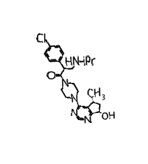 CC(C)NCC(C(=O)N1CCN(c2ncnc3c2[C@H](C)C[C@H]3O)CC1)c1ccc(Cl)cc1